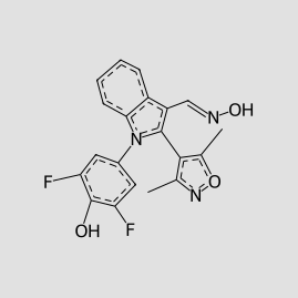 Cc1noc(C)c1-c1c(/C=N/O)c2ccccc2n1-c1cc(F)c(O)c(F)c1